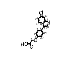 O=C(O)COc1ccc(-c2cnc3cc(Cl)ccn23)cc1